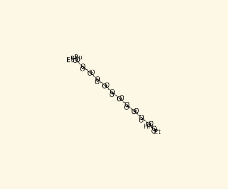 CCCCC(CC)COC(=O)CCCCCOC(=O)CCCCCOC(=O)CCCCCOC(=O)CCCCCOC(=O)CCCCCOC(=O)CCCCCOC(=O)CCCCCOC(=O)CCCCCOC(=O)CCCCCOC(=O)CCCCCOC(=O)NCCOC(=O)C(C)(C)CC